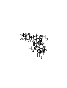 Cc1c([C@@H](C)Nc2nnc(C)c3ccc(N4CCC5(CCCN5)CC4)cc23)cccc1C(F)(F)F